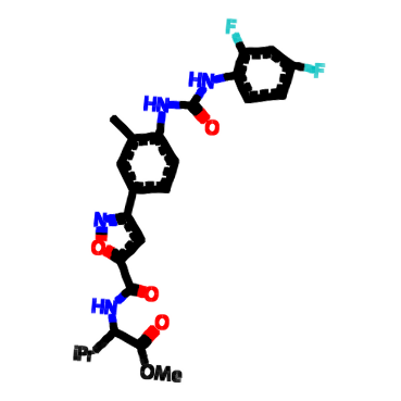 COC(=O)C(NC(=O)c1cc(-c2ccc(NC(=O)Nc3ccc(F)cc3F)c(C)c2)no1)C(C)C